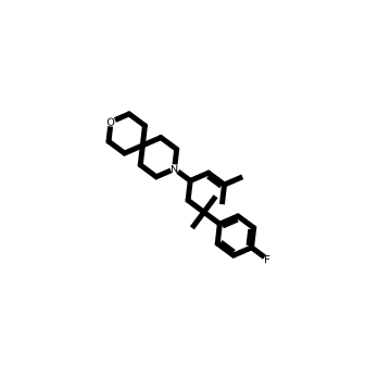 CC(C)=CC(CC(C)(C)c1ccc(F)cc1)N1CCC2(CCOCC2)CC1